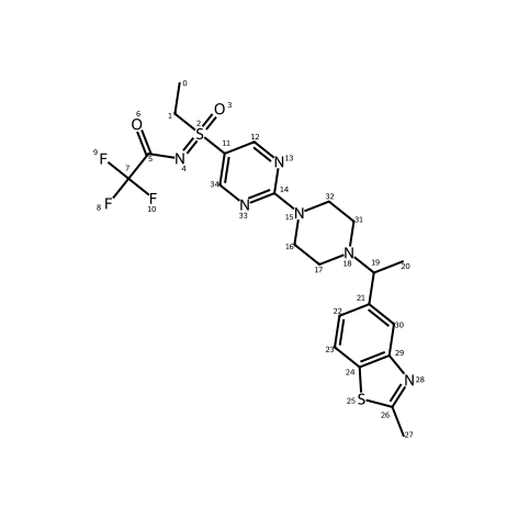 CCS(=O)(=NC(=O)C(F)(F)F)c1cnc(N2CCN(C(C)c3ccc4sc(C)nc4c3)CC2)nc1